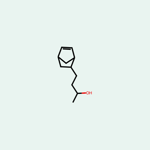 CC(O)CCC1CC2C=CC1C2